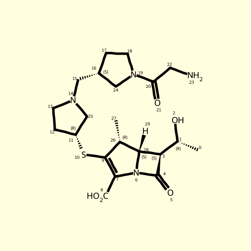 C[C@@H](O)[C@H]1C(=O)N2C(C(=O)O)=C(S[C@@H]3CCN(C[C@@H]4CCN(C(=O)CN)C4)C3)[C@H](C)[C@H]12